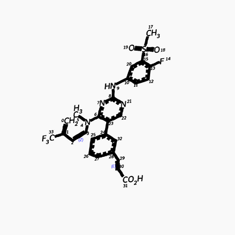 C=C(/C=C\N(C)c1nc(Nc2ccc(F)c(S(C)(=O)=O)c2)ncc1-c1cccc(/C=C/C(=O)O)c1)C(F)(F)F